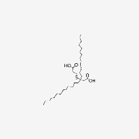 CCCCCCCCCCCCCC(CCCCCCCCCCCCC)(CC(=O)O)SCCC(=O)O